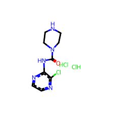 Cl.Cl.O=C(Nc1nccnc1Cl)N1CCNCC1